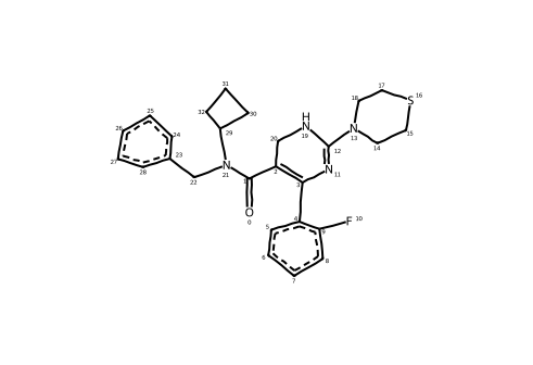 O=C(C1=C(c2ccccc2F)N=C(N2CCSCC2)NC1)N(Cc1ccccc1)C1CCC1